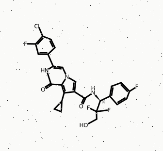 O=C(N[C@@H](c1ccc(F)cc1)C(F)(F)CO)c1cn2cc(-c3ccc(Cl)c(F)c3)[nH]c(=O)c2c1C1CC1